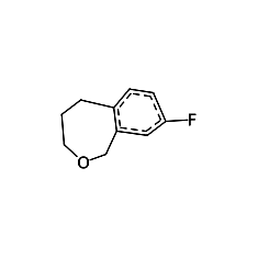 Fc1ccc2c(c1)COCCC2